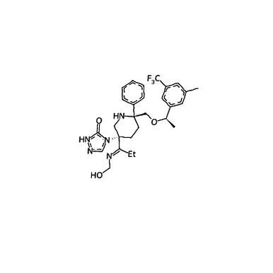 CC/C(=N\CO)[C@]1(n2cn[nH]c2=O)CC[C@@](CO[C@H](C)c2cc(C)cc(C(F)(F)F)c2)(c2ccccc2)NC1